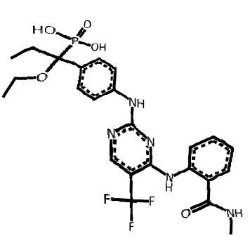 CCOC(CC)(c1ccc(Nc2ncc(C(F)(F)F)c(Nc3ccccc3C(=O)NC)n2)cc1)P(=O)(O)O